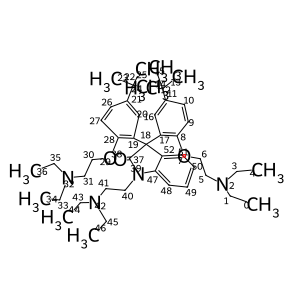 CCN(CC)CCOc1ccc(C(C)(C)C)cc1C1(c2cc(C(C)(C)C)ccc2OCCN(CC)CC)C(=O)N(CCN(CC)CC)c2ccccc21